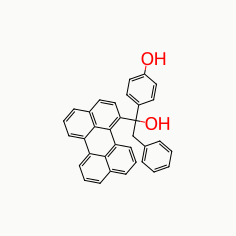 Oc1ccc(C(O)(Cc2ccccc2)c2ccc3cccc4c5cccc6cccc(c2c34)c65)cc1